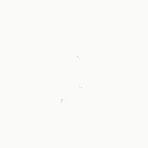 Cc1nc2c(N3CCNCC3)cccc2[nH]1